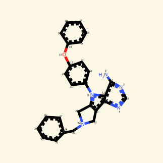 Nc1ncnc2c3c(n(-c4ccc(Oc5ccccc5)cc4)c12)CN(Cc1ccccc1)C3